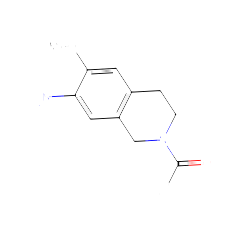 COc1cc2c(cc1N)CN(C(=O)C(F)(F)F)CC2